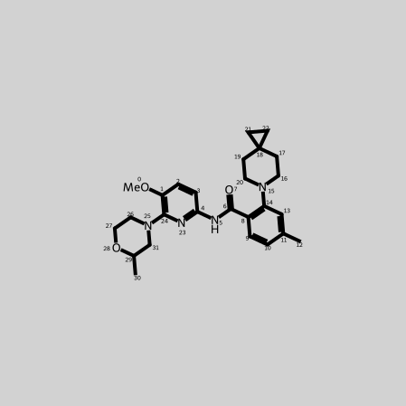 COc1ccc(NC(=O)c2ccc(C)cc2N2CCC3(CC2)CC3)nc1N1CCOC(C)C1